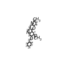 COc1cc2c(Oc3ccc(C)nc3I)ccnc2cc1OCc1ccccc1